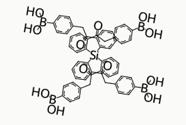 O=C(Cc1ccc(B(O)O)cc1)c1ccccc1[Si](c1ccccc1C(=O)Cc1ccc(B(O)O)cc1)(c1ccccc1C(=O)Cc1ccc(B(O)O)cc1)c1ccccc1C(=O)Cc1ccc(B(O)O)cc1